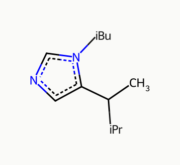 CCC(C)n1cncc1C(C)C(C)C